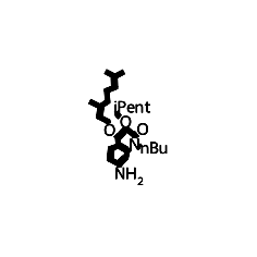 CCCCn1c(=O)c(OCC(C)CCC)c(OCC=C(C)CCC=C(C)C)c2ccc(N)cc21